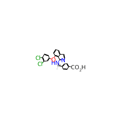 C[C@H](Nc1nccc2cccc(Oc3ccc(Cl)c(Cl)c3)c12)c1ccc(C(=O)O)cc1